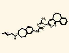 C/C=C/CN[C@H]1CCc2ccc(Nc3nc(N)n(-c4cc5c(nn4)-c4ccccc4CCC5)n3)cc2CC1